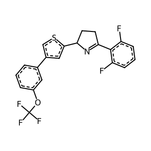 Fc1cccc(F)c1C1=NC(c2cc(-c3cccc(OC(F)(F)F)c3)cs2)CC1